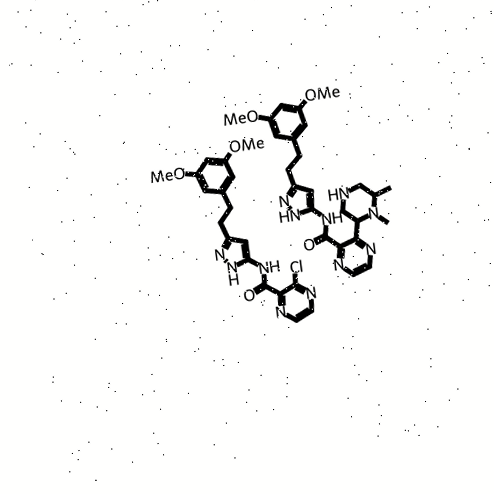 COc1cc(CCc2cc(NC(=O)c3nccnc3C3CNCC(C)N3C)[nH]n2)cc(OC)c1.COc1cc(CCc2cc(NC(=O)c3nccnc3Cl)[nH]n2)cc(OC)c1